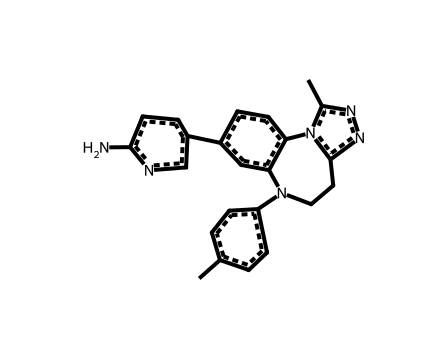 Cc1ccc(N2CCc3nnc(C)n3-c3ccc(-c4ccc(N)nc4)cc32)cc1